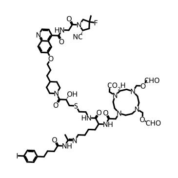 C/C(=N\CCCCC(NC(=O)CN1CCN(COC=O)CCN(COC=O)CCN(CC(=O)O)CC1)C(=O)NCCSC[C@@H](O)C(=O)N1CCC(CCCOc2ccc3nccc(C(=O)NCC(=O)N4CC(C)(F)C[C@@H]4C#N)c3c2)CC1)NC(=O)CCCc1ccc(I)cc1